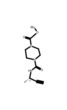 C#C[C@H](C)NC(=O)N1CCN(C(=O)OC(C)(C)C)CC1